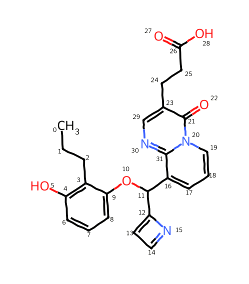 CCCc1c(O)cccc1OC(C1=CC=N1)c1cccn2c(=O)c(CCC(=O)O)cnc12